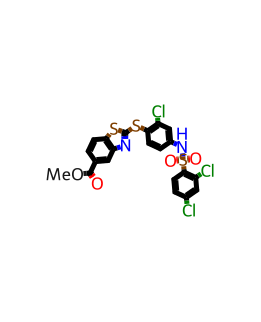 COC(=O)c1ccc2sc(Sc3ccc(NS(=O)(=O)c4ccc(Cl)cc4Cl)cc3Cl)nc2c1